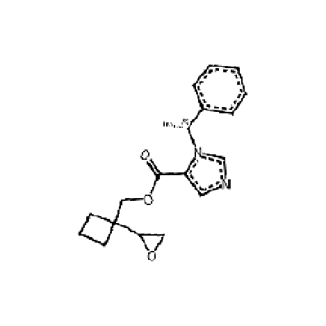 C[C@H](c1ccccc1)n1cncc1C(=O)OCC1(C2CO2)CCC1